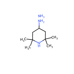 CC1(C)CC(N)CC(C)(C)N1.N